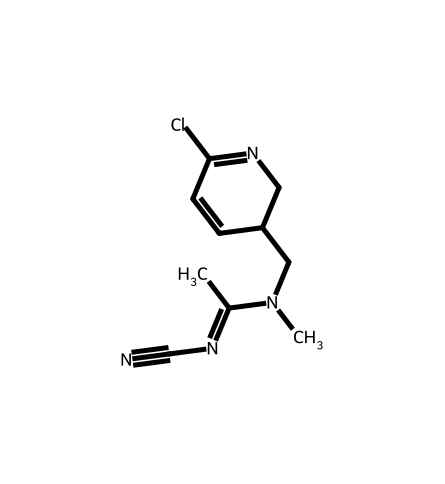 C/C(=N\C#N)N(C)CC1C=CC(Cl)=NC1